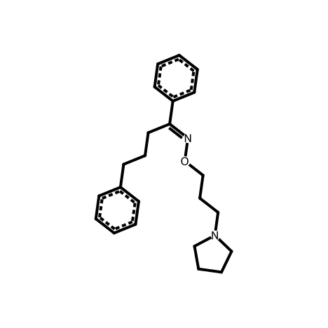 c1ccc(CCCC(=NOCCCN2CCCC2)c2ccccc2)cc1